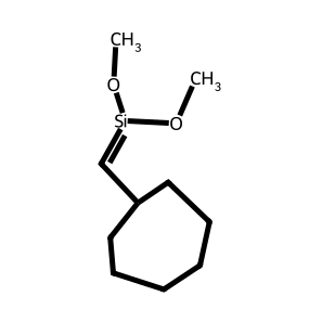 CO[Si](=CC1CCCCCC1)OC